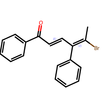 C/C(Br)=C(\C=C\C(=O)c1ccccc1)c1ccccc1